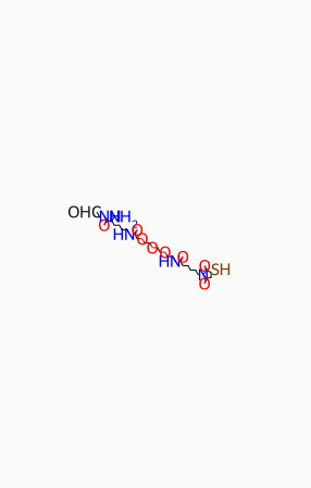 NC(CCCCNC(=O)COCCOCCOCCNC(=O)CCCCCN1C(=O)CC(S)C1=O)C(=O)NCC=O